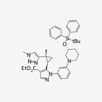 CCOC(=O)c1cnn(-c2cccc(N3CCC[C@@H](O[Si](c4ccccc4)(c4ccccc4)C(C)(C)C)C3)c2)c1[C@@H]1C[C@@]1(C)c1cn(C)nn1